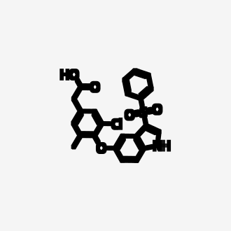 Cc1cc(CC(=O)O)cc(Cl)c1Oc1ccc2[nH]cc(S(=O)(=O)c3ccccc3)c2c1